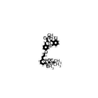 COC(=O)[C@H](Cc1ccc(OC/C=C/C2CC=CC(N(C)C(=O)OC(C)(C)C)=N2)cc1)NC(=O)c1c(Cl)cccc1Cl